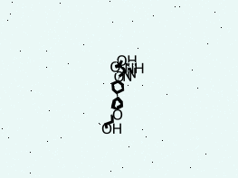 O=C(O)c1[nH]nnc1O[C@H]1CC[C@H](c2ccc(OCCCO)cc2)CC1